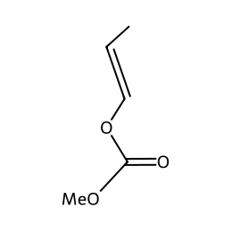 CC=COC(=O)OC